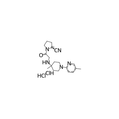 Cc1ccc(N2CCC(C)(NCC(=O)N3CCC[C@H]3C#N)CC2)nc1.Cl.Cl